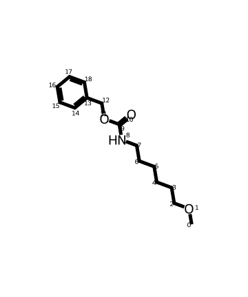 COCCCCCCNC(=O)OCc1ccccc1